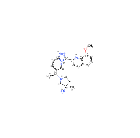 COc1cccc2ccc(-c3nnc4ccc([C@H](C)N5CC[C@@](C)(N)C5)cn34)nc12